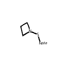 CNSN1CCC1